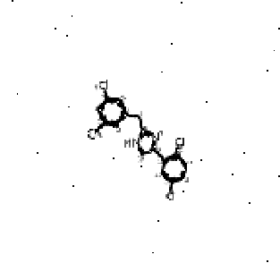 Clc1cc(Cl)cc(Cc2nc(-c3cc(Cl)ccc3Cl)c[nH]2)c1